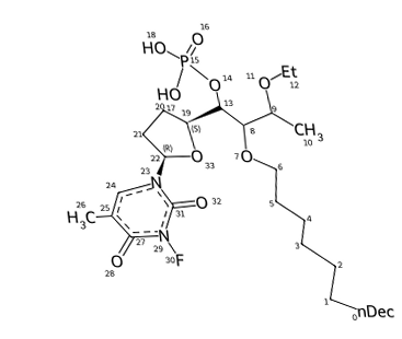 CCCCCCCCCCCCCCCCOC(C(C)OCC)C(OP(=O)(O)O)[C@@H]1CC[C@H](n2cc(C)c(=O)n(F)c2=O)O1